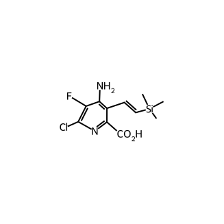 C[Si](C)(C)/C=C/c1c(C(=O)O)nc(Cl)c(F)c1N